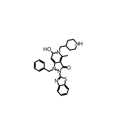 CC1=c2c(n(Cc3ccccc3)n(-c3nc4ccccc4s3)c2=O)=CC(O)N1CC1CCNCC1